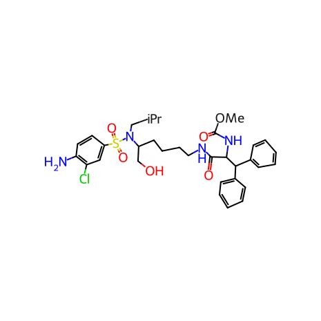 COC(=O)NC(C(=O)NCCCCC(CO)N(CC(C)C)S(=O)(=O)c1ccc(N)c(Cl)c1)C(c1ccccc1)c1ccccc1